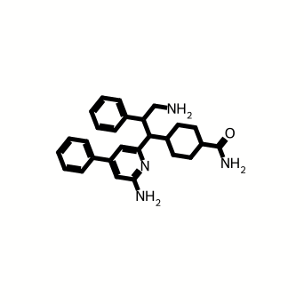 NCC(c1ccccc1)C(c1cc(-c2ccccc2)cc(N)n1)C1CCC(C(N)=O)CC1